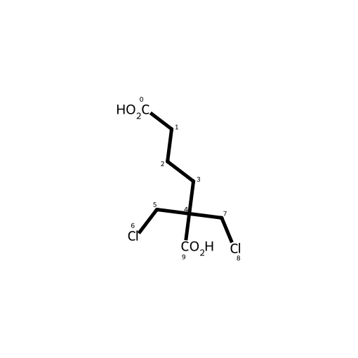 O=C(O)CCCC(CCl)(CCl)C(=O)O